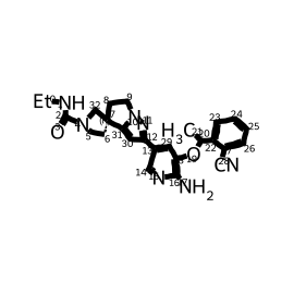 CCNC(=O)N1CC[C@@]2(CCn3nc(-c4cnc(N)c(OC(C)c5ccccc5C#N)c4)cc32)C1